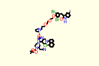 CC(C)(C)OC(=O)N1CCN(c2nc(OC[C@@H]3CCCN3CCCOCCOCCOc3c(Br)cc(C=C4C(=O)Nc5ccc(I)cc54)cc3Br)nc3c2CCN(c2cccc4cccc(Cl)c24)C3)CC1CC#N